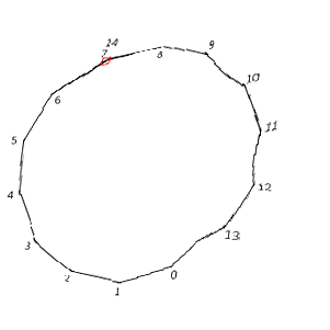 C1CCCCCC2CC(CCCCC1)C2